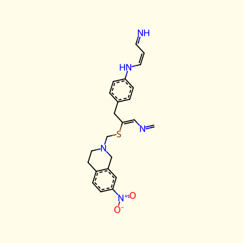 C=N/C=C(/Cc1ccc(N/C=C\C=N)cc1)SCN1CCc2ccc([N+](=O)[O-])cc2C1